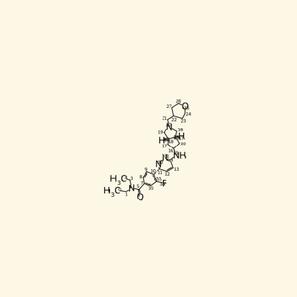 CCN(CC)C(=O)c1ccc(-c2ccc(NC3C[C@@H]4CN(CC5CCOCC5)C[C@@H]4C3)nn2)c(F)c1